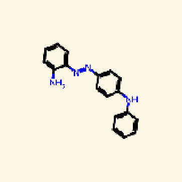 Nc1ccccc1N=Nc1ccc(Nc2ccccc2)cc1